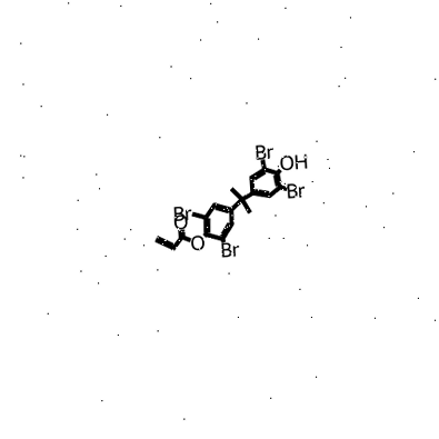 C=CC(=O)Oc1c(Br)cc(C(C)(C)c2cc(Br)c(O)c(Br)c2)cc1Br